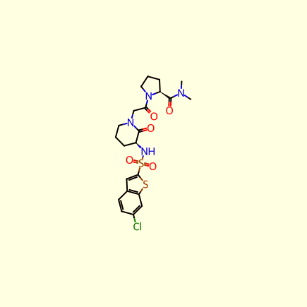 CN(C)C(=O)[C@@H]1CCCN1C(=O)CN1CCC[C@H](NS(=O)(=O)c2cc3ccc(Cl)cc3s2)C1=O